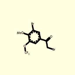 COc1c(Br)cc(C(=O)CBr)cc1OC(F)(F)F